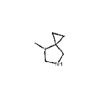 CN1CNCC12CC2